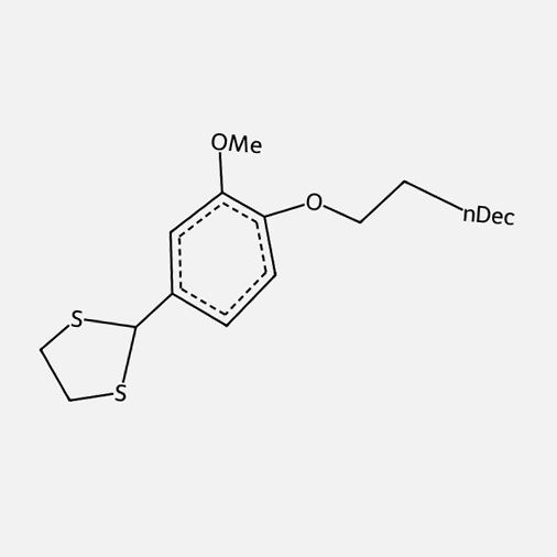 CCCCCCCCCCCCOc1ccc(C2SCCS2)cc1OC